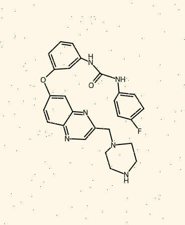 O=C(Nc1ccc(F)cc1)Nc1cccc(Oc2ccc3ncc(CN4CCNCC4)nc3c2)c1